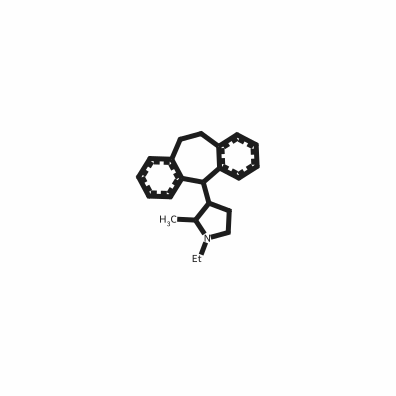 CCN1CCC(C2c3ccccc3CCc3ccccc32)C1C